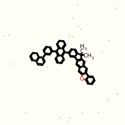 CC1(C)c2ccc(-c3c4c(c(-c5cccc(-c6cccc7c6CCC=C7)c5)c5ccccc35)=CCCC=4)cc2-c2cc3cc4oc5ccccc5c4cc3cc21